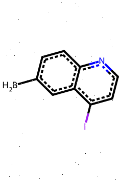 Bc1ccc2nccc(I)c2c1